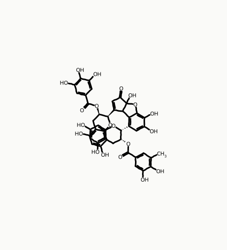 Cc1cc(C(=O)O[C@@H]2Cc3c(O)cc(O)cc3O[C@@H]2c2cc(O)c(O)c3c2C2C([C@H]4Oc5cc(O)cc(O)c5C[C@H]4OC(=O)c4cc(O)c(O)c(O)c4)=CC(=O)C2(O)O3)cc(O)c1O